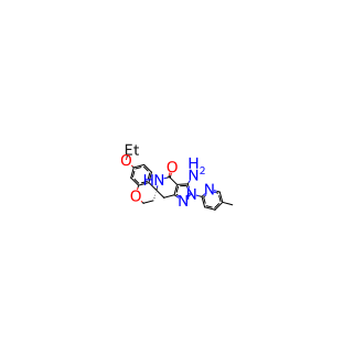 CCOc1ccc2c(c1)OCC[C@]21Cc2nn(-c3ccc(C)cn3)c(N)c2C(=O)N1